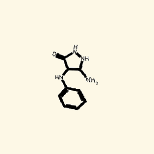 NC1NNC(=O)C1Nc1ccccc1